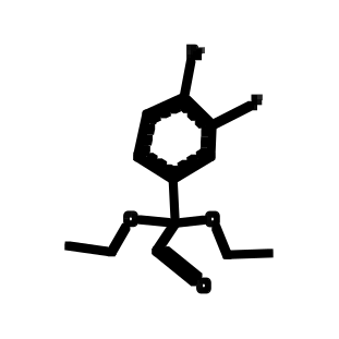 CCOC(C=O)(OCC)c1ccc(Br)c(F)c1